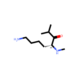 CN[C@H](CCCCN)C(=O)C(C)C